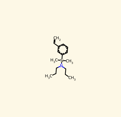 C=Cc1cccc([Si](C)(C)N(CCC)CCC)c1